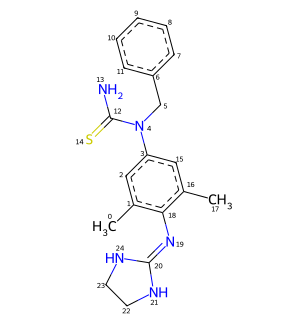 Cc1cc(N(Cc2ccccc2)C(N)=S)cc(C)c1N=C1NCCN1